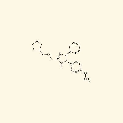 COc1ccc([C@H]2NC(COCC3CCCC3)=N[C@H]2C2C=CC=CC2)cc1